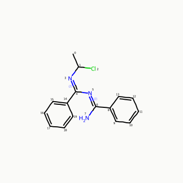 CC(Cl)/N=C(\N=C(/N)c1ccccc1)c1ccccc1